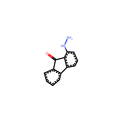 NNc1cccc2c1C(=O)c1ccccc1-2